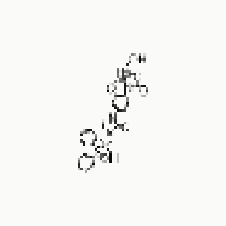 CC(C)(C[C@H]1CCN(c2ccc3c(c2)OC[C@H]2[C@H](CO)OC(=O)N32)C1=O)[Si](O)(c1ccccc1)c1ccccc1